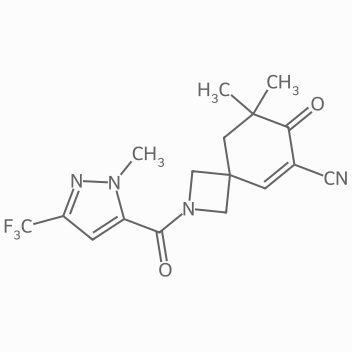 Cn1nc(C(F)(F)F)cc1C(=O)N1CC2(C=C(C#N)C(=O)C(C)(C)C2)C1